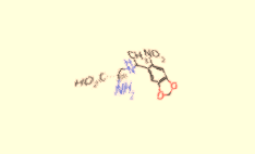 CC(NC[C@H](N)C(=O)O)c1cc2c(cc1[N+](=O)[O-])OCO2